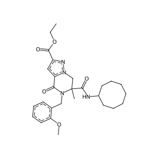 CCOC(=O)c1cc2n(n1)CC(C)(C(=O)NC1CCCCCCC1)N(Cc1ccccc1OC)C2=O